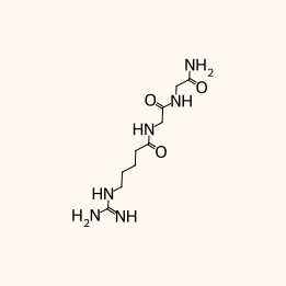 N=C(N)NCCCCC(=O)NCC(=O)NCC(N)=O